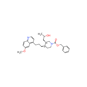 COc1ccc2nccc(CCC[C@@H]3CCN(C(=O)OCc4ccccc4)C[C@@H]3CC(C)O)c2c1